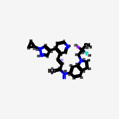 C=C(/C=C/c1cnccc1-c1cnn(C2CC2)c1)Nc1ccc2ccn(CC(C)(F)I)c2c1